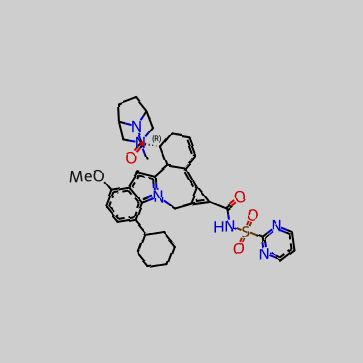 COc1ccc(C2CCCCC2)c2c1cc1n2CC2=C(C(=O)NS(=O)(=O)c3ncccn3)C2=C2C=CC[C@@H](C(=O)N3C4CCC3CN(C)C4)C21